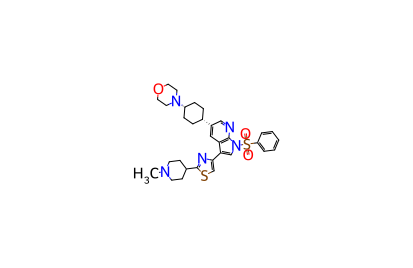 CN1CCC(c2nc(-c3cn(S(=O)(=O)c4ccccc4)c4ncc([C@H]5CC[C@@H](N6CCOCC6)CC5)cc34)cs2)CC1